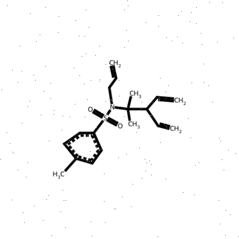 C=CCN(C(C)(C)C(C=C)C=C)S(=O)(=O)c1ccc(C)cc1